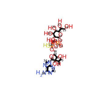 C=C(C)[C@@]1(O)[C@H](O)[C@@H](COP(=O)(S)OP(=O)(O)OC2OC([C@@H](O)CO)C(O)C(O)C2O)O[C@H]1n1cnc2c(N)ncnc21